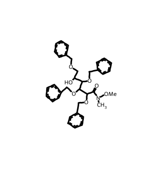 CON(C)C(=O)C(OCc1ccccc1)C(OCc1ccccc1)C(OCc1ccccc1)C(O)COCc1ccccc1